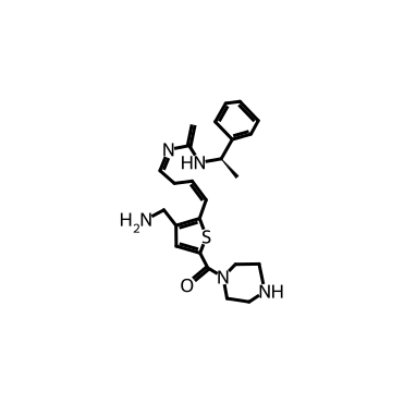 C=C(/N=C\C/C=C\c1sc(C(=O)N2CCNCC2)cc1CN)N[C@H](C)c1ccccc1